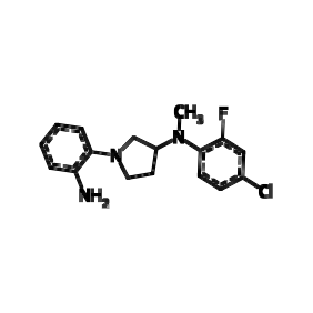 CN(c1ccc(Cl)cc1F)C1CCN(c2ccccc2N)C1